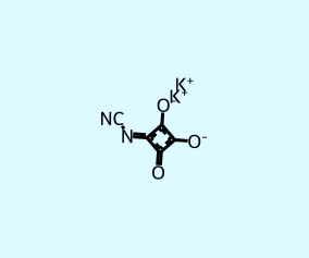 N#CN=c1c([O-])c([O-])c1=O.[K+].[K+]